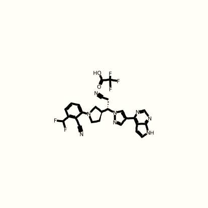 N#CC[C@@H]([C@H]1CCN(c2cccc(C(F)F)c2C#N)C1)n1cc(-c2ncnc3[nH]ccc23)cn1.O=C(O)C(F)(F)F